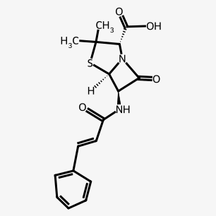 CC1(C)S[C@@H]2[C@H](NC(=O)C=Cc3ccccc3)C(=O)N2[C@H]1C(=O)O